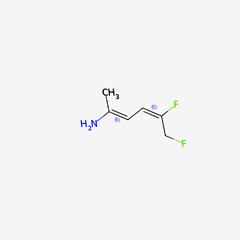 C/C(N)=C\C=C(\F)CF